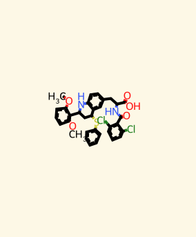 COc1cccc(OC)c1C1CC(Sc2ccccc2)c2cc(CC(NC(=O)c3c(Cl)cccc3Cl)C(=O)O)ccc2N1